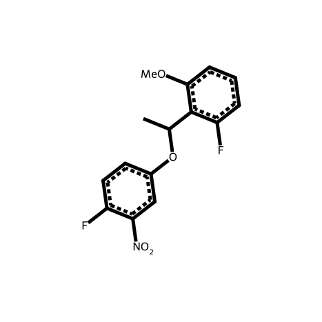 COc1cccc(F)c1C(C)Oc1ccc(F)c([N+](=O)[O-])c1